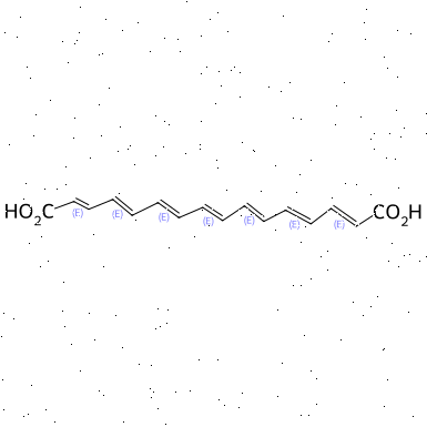 O=C(O)/C=C/C=C/C=C/C=C/C=C/C=C/C=C/C(=O)O